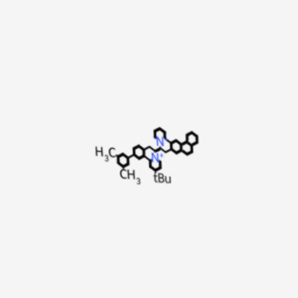 Cc1cc(C)cc(-c2ccc3c(c2)-c2cc(C(C)(C)C)cc[n+]2/C(=C2\Cc4cc5ccc6ccccc6c5cc4-c4cccc[n+]42)C3)c1